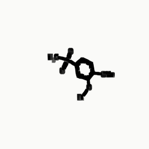 CCOc1cc(S(C)(=O)=O)ccc1OC